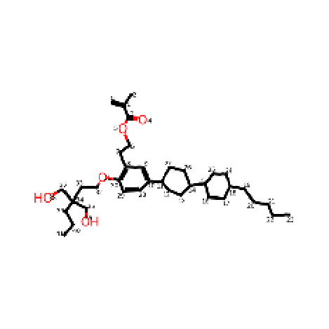 C=C(C)C(=O)OCCc1cc(C2CCC(C3CCC(CCCCC)CC3)CC2)ccc1OCCC(CO)(CO)CCC